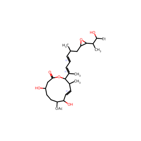 CCC(O)C(C)C1OC1CC(C)/C=C/C=C(\C)C1OC(=O)CC(O)CCC(OC(C)=O)C(O)/C=C/C1C